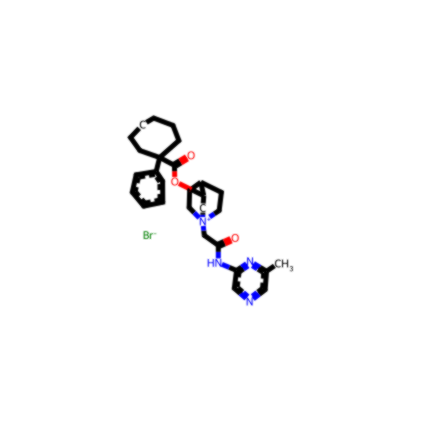 Cc1cncc(NC(=O)C[N+]23CCC(CC2)C(OC(=O)C2(c4ccccc4)CCCCCC2)C3)n1.[Br-]